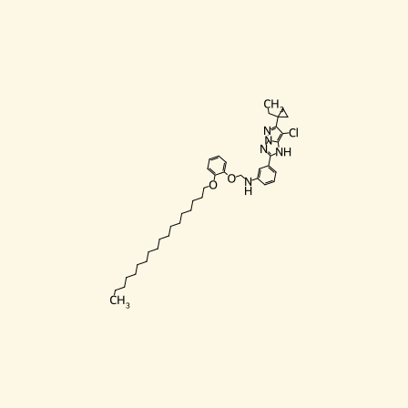 CCCCCCCCCCCCCCCCCCOc1ccccc1OCNc1cccc(-c2nn3nc(C4(CC)CC4)c(Cl)c3[nH]2)c1